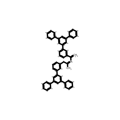 C=C(/N=C(/C)Cc1cccc(-c2cc(-c3ccccc3)cc(-c3ccccc3)c2)c1)c1cccc(-c2cc(-c3ccccc3)cc(-c3ccccc3)c2)c1